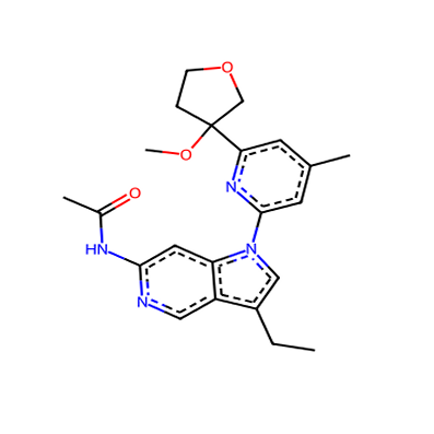 CCc1cn(-c2cc(C)cc(C3(OC)CCOC3)n2)c2cc(NC(C)=O)ncc12